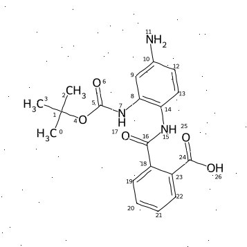 CC(C)(C)OC(=O)Nc1cc(N)ccc1NC(=O)c1ccccc1C(=O)O